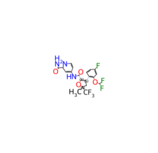 C[C@@]1(C(F)(F)F)C[C@@H](c2ccc(F)cc2OC(F)F)[C@@H](C(=O)Nc2ccnc(C(N)=O)c2)O1